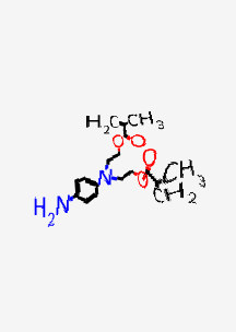 C=C(C)C(=O)OCCN(CCOC(=O)C(=C)C)c1ccc(N)cc1